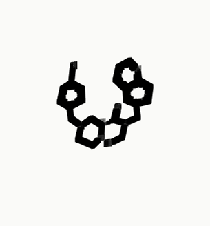 CC(C)CN(Cc1ccc2ncccc2c1)C(=O)[C@H]1CN(Cc2ccc(Cl)cc2)CCO1